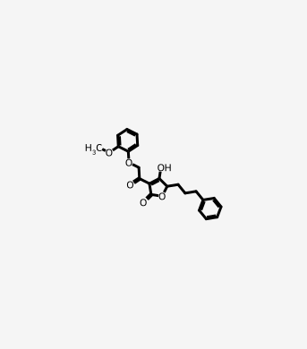 COc1ccccc1OCC(=O)C1=C(O)C(CCCc2ccccc2)OC1=O